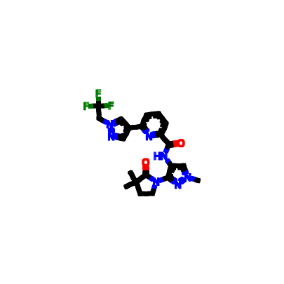 Cn1cc(NC(=O)c2cccc(-c3cnn(CC(F)(F)F)c3)n2)c(N2CCC(C)(C)C2=O)n1